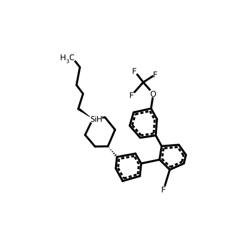 CCCCC[Si@H]1CC[C@H](c2cccc(-c3c(F)cccc3-c3cccc(OC(F)(F)F)c3)c2)CC1